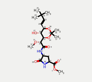 COC(=O)C1CC(NC(=O)[C@H](OC)[C@@H]2OC(C)(C)O[C@H](C=CC(C)(C)C)[C@H]2O)C(=O)N1